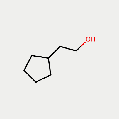 O[CH]CC1CCCC1